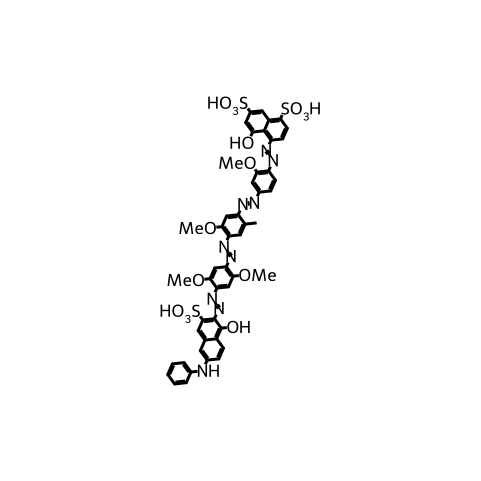 COc1cc(N=Nc2ccc(N=Nc3ccc(S(=O)(=O)O)c4cc(S(=O)(=O)O)cc(O)c34)c(OC)c2)c(C)cc1N=Nc1cc(OC)c(N=Nc2c(S(=O)(=O)O)cc3cc(Nc4ccccc4)ccc3c2O)cc1OC